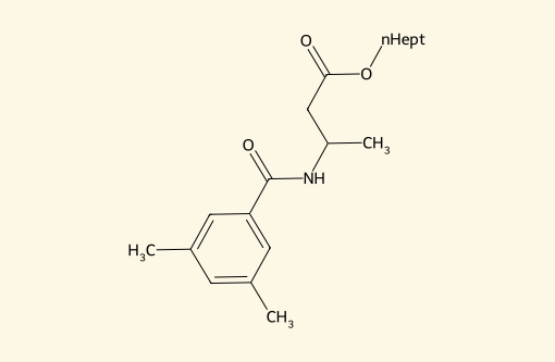 CCCCCCCOC(=O)CC(C)NC(=O)c1cc(C)cc(C)c1